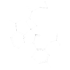 Cc1ccc(NC(=O)C2(c3ccccc3C(C)C)CN(C(=O)C3CC3)C2)c(OC(F)F)n1